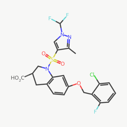 Cc1nn(C(F)F)cc1S(=O)(=O)N1CC(C(=O)O)Cc2ccc(OCc3c(F)cccc3Cl)cc21